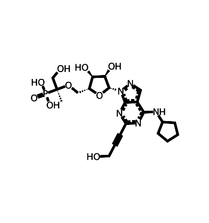 C[C@](CO)(OC[C@H]1O[C@@H](n2ncc3c(NC4CCCC4)nc(C#CCO)nc32)[C@H](O)[C@@H]1O)P(=O)(O)O